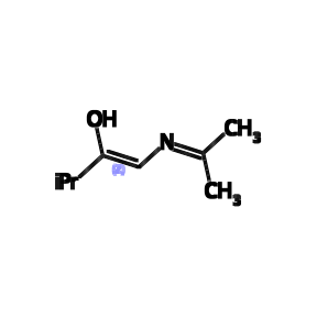 CC(C)=N/C=C(\O)C(C)C